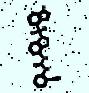 [2H]C([2H])(c1ccnc2[nH]ccc12)N1CCc2c(NC(=O)Nc3ccccc3C#N)cccc21